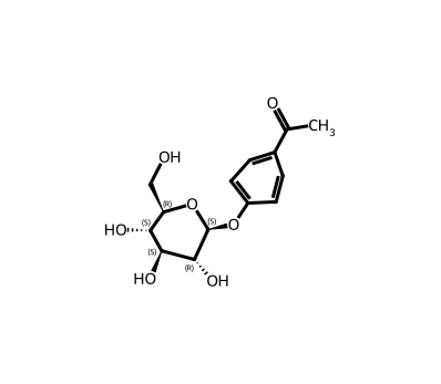 CC(=O)c1ccc(O[C@@H]2O[C@H](CO)[C@@H](O)[C@H](O)[C@H]2O)cc1